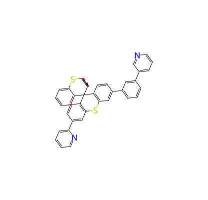 c1ccc(-c2ccc3c(c2)Sc2cc(-c4cccc(-c5cccnc5)c4)ccc2C32c3ccccc3Sc3ccccc32)nc1